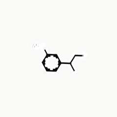 [CH2]C(CF)c1cccc(SC)c1